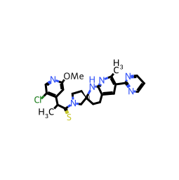 COc1cc(C(C)C(=S)N2CC[C@@]3(CCc4cc(-c5ncccn5)c(C)nc4N3)C2)c(Cl)cn1